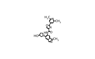 Cc1cc(-c2nc(C(=O)Nc3cc4c(cnn4C)cc3N3CC[C@H](O)C3)co2)cc(C)n1